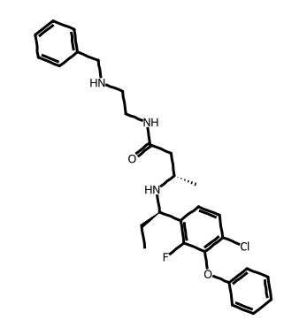 CC[C@@H](N[C@@H](C)CC(=O)NCCNCc1ccccc1)c1ccc(Cl)c(Oc2ccccc2)c1F